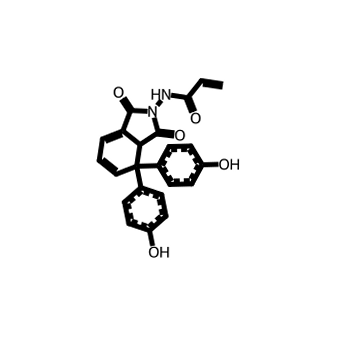 C=CC(=O)NN1C(=O)C2=CC=CC(c3ccc(O)cc3)(c3ccc(O)cc3)C2C1=O